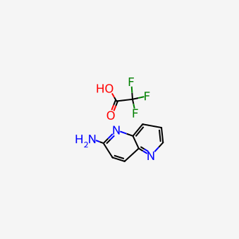 Nc1ccc2ncccc2n1.O=C(O)C(F)(F)F